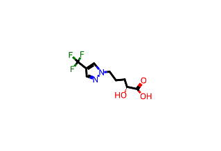 O=C(O)[C@H](O)CCCn1cc(C(F)(F)F)cn1